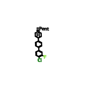 CCCCC[SiH]1CCC(c2ccc(-c3ccc(Cl)c(F)c3)cc2)CC1